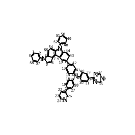 c1ccc(-n2ccc3c4c5cc(-c6ccc(N(c7ccc(-c8cccnc8)cc7)c7ccc(-c8ncncn8)cc7)cc6)ccc5n(-c5ccccc5)c4ccc32)cc1